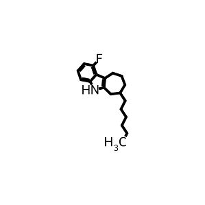 CCCCCCC1CCCc2c([nH]c3cccc(F)c23)C1